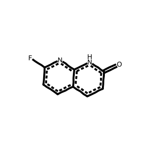 O=c1ccc2ccc(F)nc2[nH]1